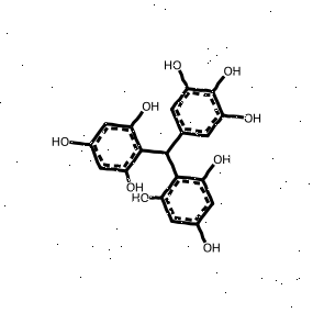 Oc1cc(O)c(C(c2cc(O)c(O)c(O)c2)c2c(O)cc(O)cc2O)c(O)c1